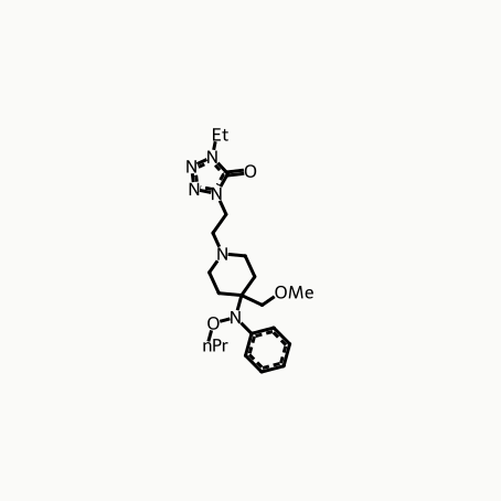 CCCON(c1ccccc1)C1(COC)CCN(CCn2nnn(CC)c2=O)CC1